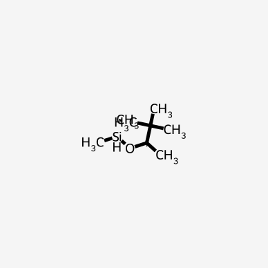 C[C](O[SiH](C)C)C(C)(C)C